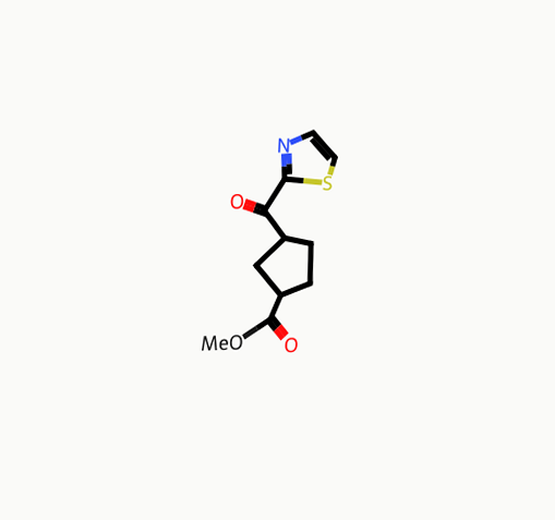 COC(=O)C1CCC(C(=O)c2nccs2)C1